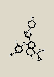 C[C@H]1CCc2c(ccc(-c3cnn(C4CCNCC4)c3)c2Oc2ccc(C#N)cc2F)N1C(O)C1CC1